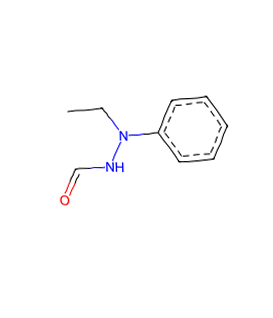 CCN(NC=O)c1ccccc1